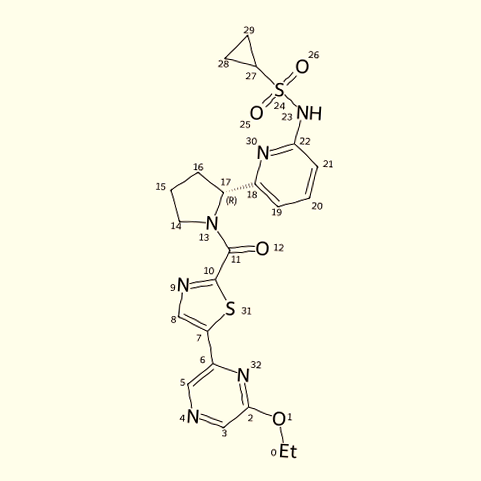 CCOc1cncc(-c2cnc(C(=O)N3CCC[C@@H]3c3cccc(NS(=O)(=O)C4CC4)n3)s2)n1